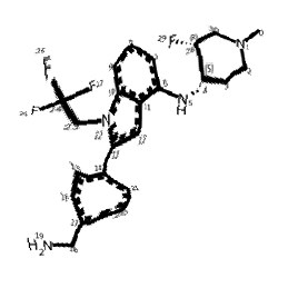 CN1CC[C@H](Nc2cccc3c2cc(-c2ccc(CN)cc2)n3CC(F)(F)F)[C@H](F)C1